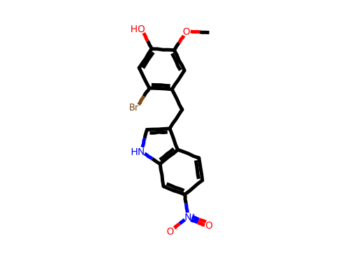 COc1cc(Cc2c[nH]c3cc([N+](=O)[O-])ccc23)c(Br)cc1O